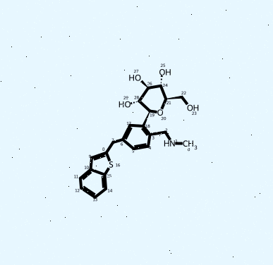 CNCc1ccc(Cc2cc3ccccc3s2)cc1[C@@H]1O[C@H](CO)[C@@H](O)[C@H](O)[C@H]1O